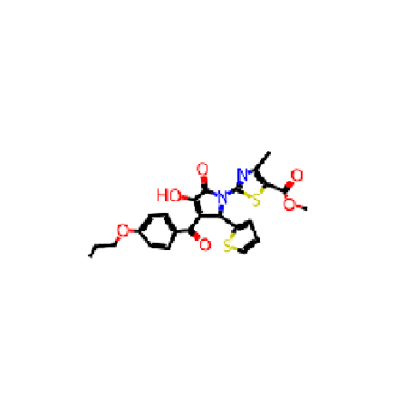 CCCOc1ccc(C(=O)C2=C(O)C(=O)N(c3nc(C)c(C(=O)OC)s3)C2c2cccs2)cc1